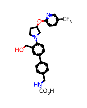 O=C(O)NCc1ccc(-c2ccc(N3CCC(Oc4ccc(C(F)(F)F)cn4)C3)c(CO)c2)cc1